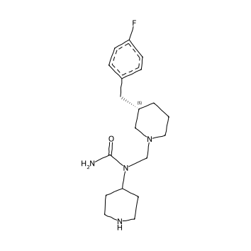 NC(=O)N(CN1CCC[C@@H](Cc2ccc(F)cc2)C1)C1CCNCC1